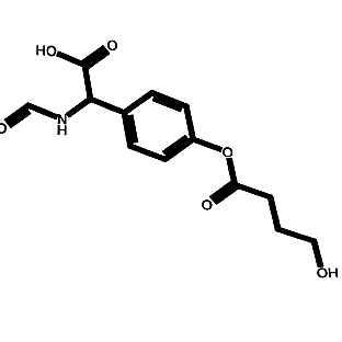 O=CNC(C(=O)O)c1ccc(OC(=O)CCCO)cc1